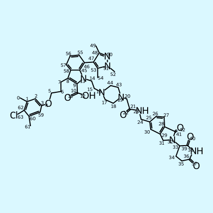 Cc1cc(OCCCc2c(C(=O)O)n(CCN3CCN(CC(=O)NCc4ccc5c(c4)CN(C4CCC(=O)NC4=O)C5=O)CC3)c3c(-c4c(C)nn(C)c4C)cccc23)cc(C)c1Cl